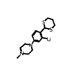 [Li][c]1cc(N2CCN(C)CC2)ccc1C1SCCCS1